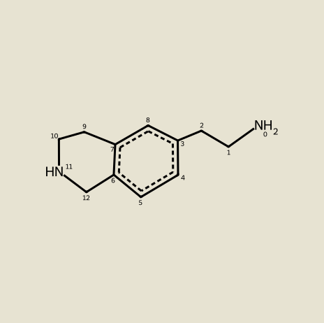 NCCc1ccc2c(c1)CCNC2